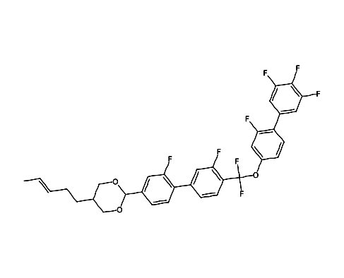 C/C=C/CCC1COC(c2ccc(-c3ccc(C(F)(F)Oc4ccc(-c5cc(F)c(F)c(F)c5)c(F)c4)c(F)c3)c(F)c2)OC1